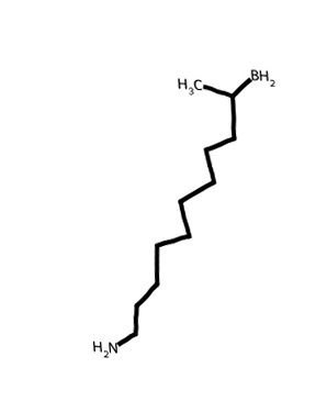 BC(C)CCCCCCCCCN